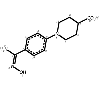 N/C(=N/O)c1ccc(N2CCC(C(=O)O)CC2)cc1